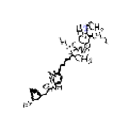 C=C(/C=C\C)CC(=C)NC(=C)SC(=C)CCCCc1ccc(NC(=O)Cc2cccc(CC)c2)nn1